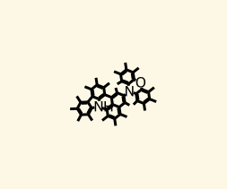 Cc1c(C)c(C)c2c(c1C)Oc1c(C)c(C)c(C)c(C)c1N2c1c(C)c(-c2c(C)c(C)c(C)c3c2[nH]c2c(C)c(C)c(C)c(C)c23)c2c(C)c(C)c(C)c(C)c2c1C